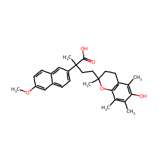 COc1ccc2cc(C(C)(CCC3(C)CCc4c(C)c(O)c(C)c(C)c4O3)C(=O)O)ccc2c1